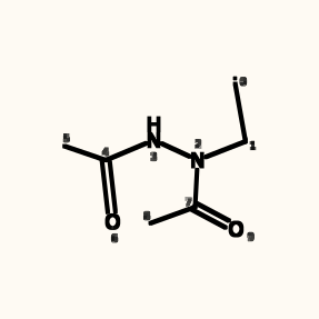 [CH2]CN(NC(C)=O)C(C)=O